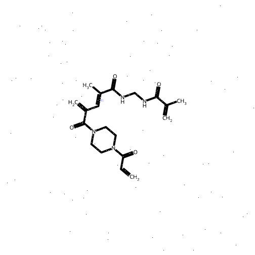 C=CC(=O)N1CCN(C(=O)C(=C)/C=C(\C)C(=O)NCNC(=O)C(=C)C)CC1